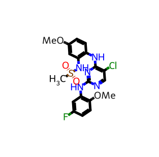 COc1ccc(Nc2nc(Nc3cc(F)ccc3OC)ncc2Cl)c(NS(C)(=O)=O)c1